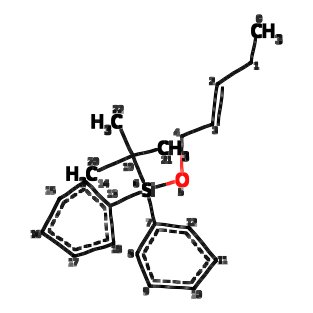 CC/C=C/CO[Si](c1ccccc1)(c1ccccc1)C(C)(C)C